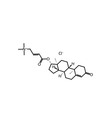 C[C@]12CC[C@H]3[C@@H](CCC4=CC(=O)CC[C@@]43C)[C@@H]1CC[C@@H]2OC(=O)/C=C/C[N+](C)(C)C.[Cl-]